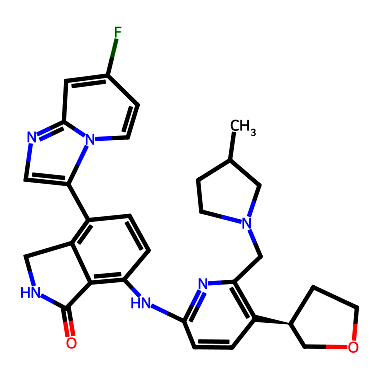 CC1CCN(Cc2nc(Nc3ccc(-c4cnc5cc(F)ccn45)c4c3C(=O)NC4)ccc2[C@H]2CCOC2)C1